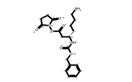 NCCCC[C@@H](CC(=O)ON1C(=O)CCC1=O)NC(=O)OCc1ccccc1